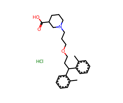 Cc1ccccc1C(CCOCCCN1CCCC(C(=O)O)C1)c1ccccc1C.Cl